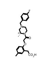 Cc1ccc(OCC(=O)N2CCN(Cc3ccc(F)cc3)C[C@H]2C)c(CC(=O)O)c1